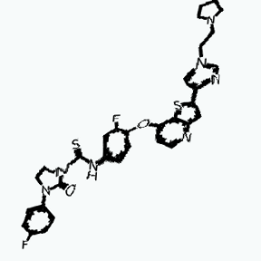 O=C1N(C(=S)Nc2ccc(Oc3ccnc4cc(-c5cn(CCN6CCCC6)cn5)sc34)c(F)c2)CCN1c1ccc(F)cc1